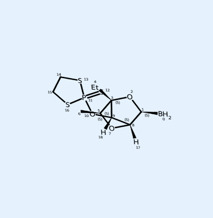 B[C@@H]1O[C@@]2(CC)[C@H](C)O[C@@H]1[C@@H]2OP1(=S)SCCS1